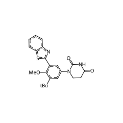 COc1c(-c2nc3ccccc3s2)cc(N2CCC(=O)NC2=O)cc1C(C)(C)C